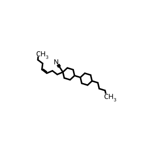 CCC/C=C\CCC1(C#N)CCC(C2CCC(CCCC)CC2)CC1